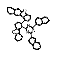 c1ccc2cc(-c3nc(-c4ccc5ccccc5c4)nc(-c4c(-c5cccc6oc7cc8ccccc8cc7c56)ccc5oc6ccccc6c45)n3)ccc2c1